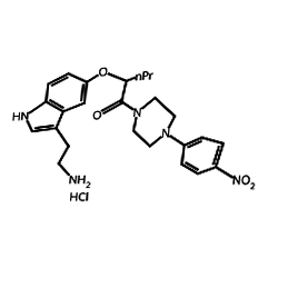 CCCC(Oc1ccc2[nH]cc(CCN)c2c1)C(=O)N1CCN(c2ccc([N+](=O)[O-])cc2)CC1.Cl